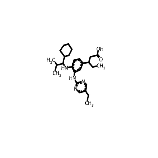 CCc1cnc(Nc2cc(C(CC)CC(=O)O)ccc2NC(C(C)C)C2CCCCC2)nc1